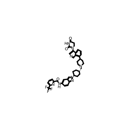 O=C1CCN(c2cncc3c(C4CCN(C[C@H]5CC[C@H](n6cc7cc(NC(=O)c8cccc(C(F)(F)F)n8)ccc7n6)CC5)CC4)cccc23)C(=O)N1